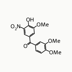 COc1ccc(C(=O)c2cc(OC)c(O)c([N+](=O)[O-])c2)cc1OC